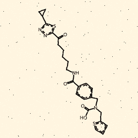 O=C(NCCCCCC(=O)c1nnc(C2CC2)s1)c1ccc(CN(Cc2cccs2)C(=O)O)cc1